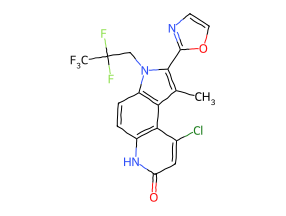 Cc1c(-c2ncco2)n(CC(F)(F)C(F)(F)F)c2ccc3[nH]c(=O)cc(Cl)c3c12